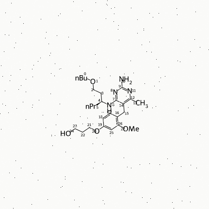 CCCCOCC[C@H](CCC)Nc1nc(N)nc(C)c1Cc1ccc(OCCCO)cc1OC